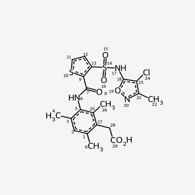 Cc1cc(C)c(NC(=O)c2sccc2S(=O)(=O)Nc2onc(C)c2Cl)c(C)c1CC(=O)O